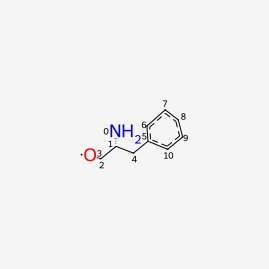 N[C@@H](C[O])Cc1ccccc1